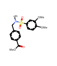 CCCN(Cc1ccc(C(=O)OC)cc1)S(=O)(=O)c1ccc(OC)c(OC)c1